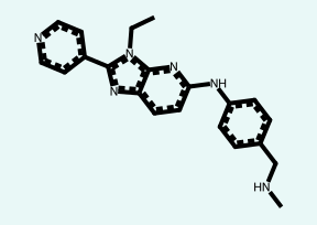 CCn1c(-c2ccncc2)nc2ccc(Nc3ccc(CNC)cc3)nc21